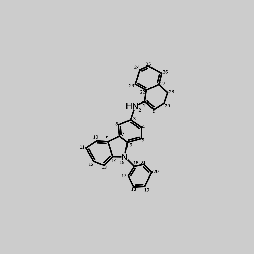 C1=C(Nc2ccc3c(c2)c2ccccc2n3-c2ccccc2)c2ccccc2CC1